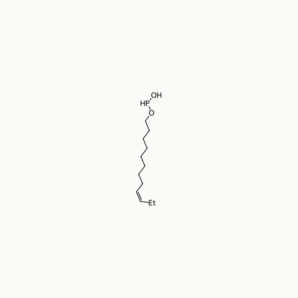 CC/C=C\CCCCCCCCOPO